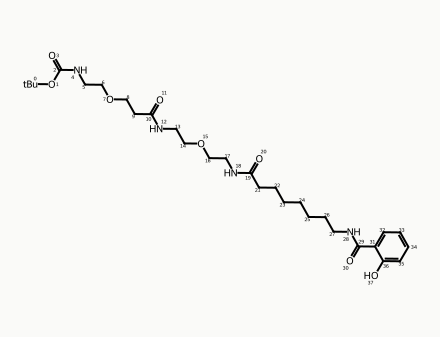 CC(C)(C)OC(=O)NCCOCCC(=O)NCCOCCNC(=O)CCCCCCCNC(=O)c1ccccc1O